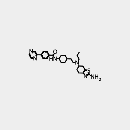 CCCN(CCC1CCC(NC(=O)c2ccc(-c3cnccn3)cc2)CC1)[C@H]1CCc2nc(N)sc2C1